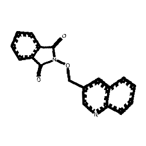 O=C1c2ccccc2C(=O)N1OCc1cnc2ccccc2c1